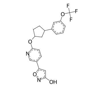 Oc1cc(-c2ccc(OC3CCC(c4cccc(OC(F)(F)F)c4)C3)nc2)on1